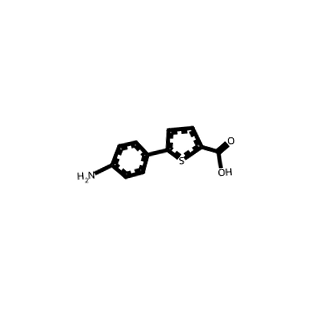 Nc1ccc(-c2ccc(C(=O)O)s2)cc1